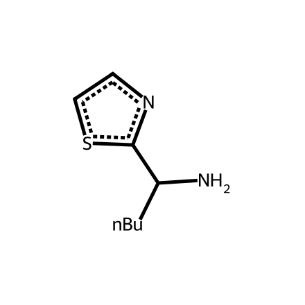 CCCCC(N)c1nccs1